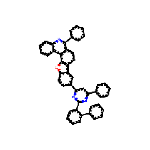 c1ccc(-c2cc(-c3ccc4oc5c(ccc6c(-c7ccccc7)nc7ccccc7c65)c4c3)nc(-c3ccccc3-c3ccccc3)n2)cc1